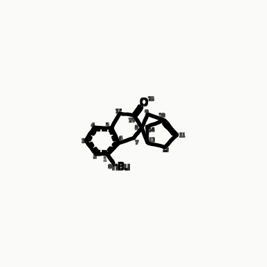 CCCCc1cccc2c1CC1(CC3=CCC1C3)C(=O)C2